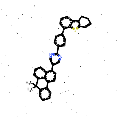 CC1(C)c2ccccc2-c2ccc(-c3cnc(-c4ccc(-c5cccc6c7c(sc56)C=CCC7)cc4)nc3)c3cccc1c23